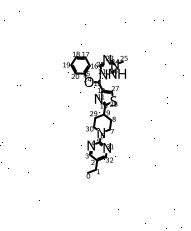 CCc1cnc(N2CCC(c3nc(C(Oc4ccccc4)N4C=NN(C)N4)cs3)CC2)nc1